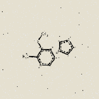 CSc1nccnc1C.c1cscn1